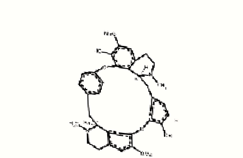 COc1cc2c3cc1Oc1cc(ccc1O)C[C@H]1c4c(cc(OC)c(O)c4Oc4ccc(cc4)C[C@@H]3N(C)CC2)CCN1C.I